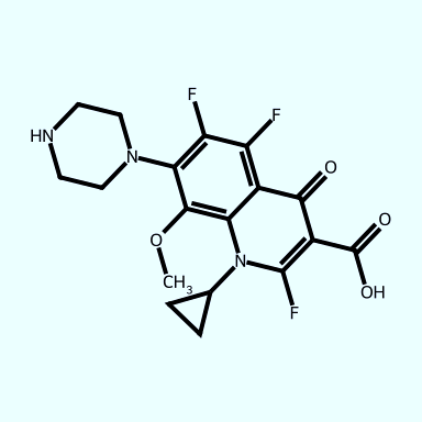 COc1c(N2CCNCC2)c(F)c(F)c2c(=O)c(C(=O)O)c(F)n(C3CC3)c12